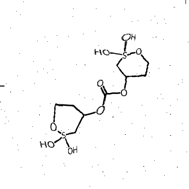 O=C(OC1CCOS(O)(O)C1)OC1CCOS(O)(O)C1